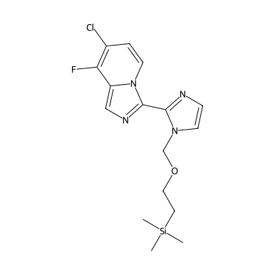 C[Si](C)(C)CCOCn1ccnc1-c1ncc2c(F)c(Cl)ccn12